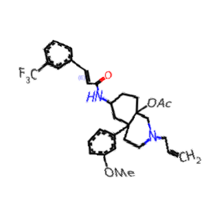 C=CCN1CCC2(c3cccc(OC)c3)CC(NC(=O)/C=C/c3cccc(C(F)(F)F)c3)CCC2(OC(C)=O)C1